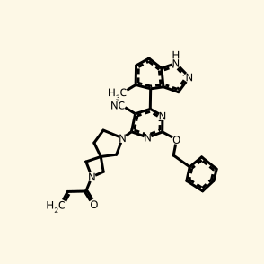 C=CC(=O)N1CC2(CCN(c3nc(OCc4ccccc4)nc(-c4c(C)ccc5[nH]ncc45)c3C#N)C2)C1